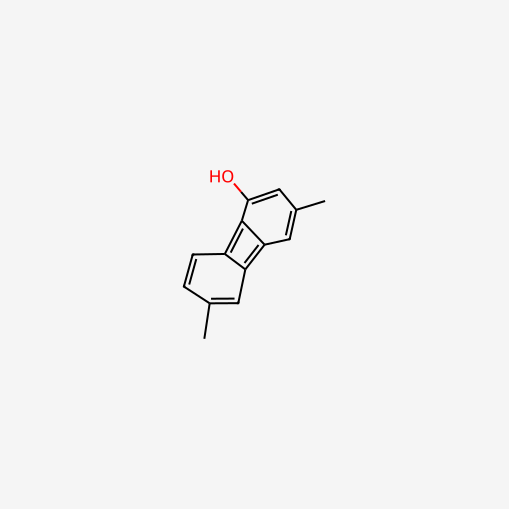 Cc1ccc2c(c1)=c1cc(C)cc(O)c1=2